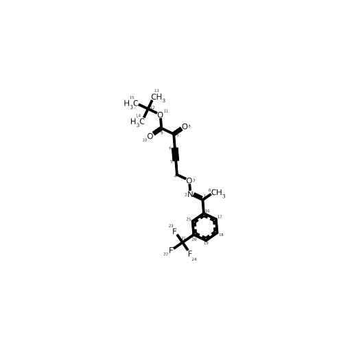 CC(=NOCC#CC(=O)C(=O)OC(C)(C)C)c1cccc(C(F)(F)F)c1